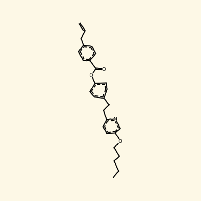 C=CCc1ccc(C(=O)Oc2ccc(CCc3ccc(OCCCCC)cn3)cc2)cc1